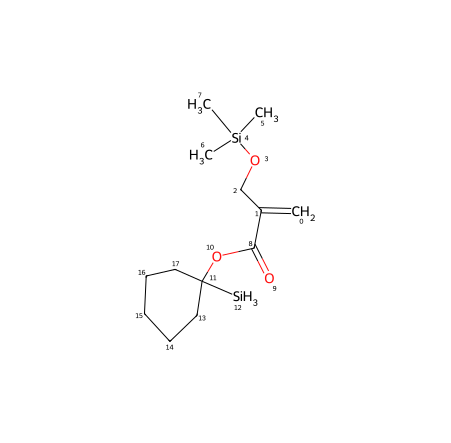 C=C(CO[Si](C)(C)C)C(=O)OC1([SiH3])CCCCC1